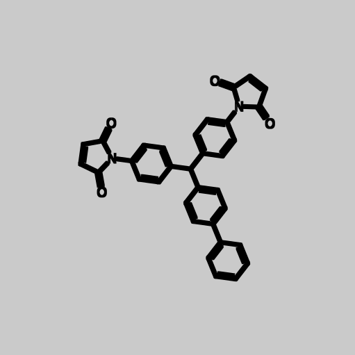 O=C1C=CC(=O)N1c1ccc(C(c2ccc(-c3ccccc3)cc2)c2ccc(N3C(=O)C=CC3=O)cc2)cc1